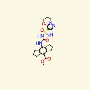 COC(=O)c1c2c(c(NC(=O)NS(=N)(=O)c3cnn4c3OCCC4)c3c1CCC3)CCC2